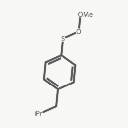 COOSc1ccc(CC(C)C)cc1